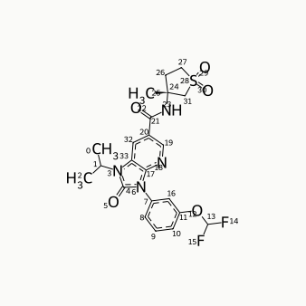 CC(C)n1c(=O)n(-c2cccc(OC(F)F)c2)c2ncc(C(=O)N[C@]3(C)CCS(=O)(=O)C3)cc21